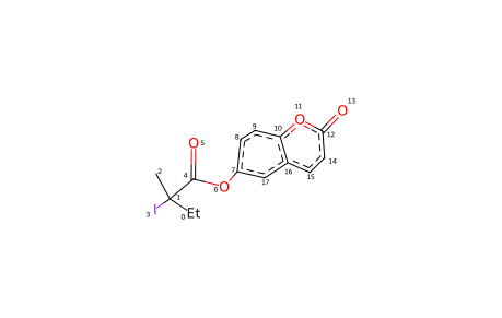 CCC(C)(I)C(=O)Oc1ccc2oc(=O)ccc2c1